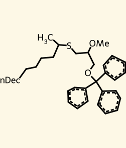 CCCCCCCCCCCCCCC(C)SCC(COC(c1ccccc1)(c1ccccc1)c1ccccc1)OC